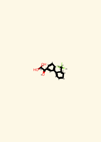 O=C(c1cccc(-c2ccccc2C(F)(F)F)c1)C(O)O